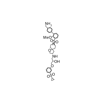 COc1c(-c2ccc(CN)cc2)cccc1S(=O)(=O)N1CCC2(CC1)C[C@H](NCC(O)COc1cccc(S(=O)(=O)C3CC3)c1)CO2